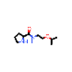 CC(C)OCCNC(=O)C1CCCN1